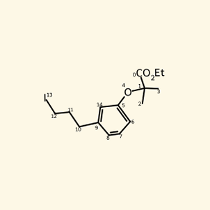 CCOC(=O)C(C)(C)Oc1cccc(CCCI)c1